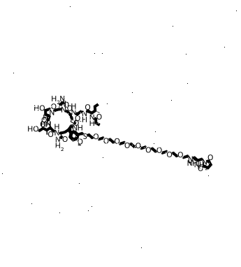 CCC(=O)N[C@H](C(=O)NCC(=O)N[C@@H]1C[S+]([O-])c2[nH]c3c(CSCCOCCOCCOCCOCCOCCOCCOCCOCCOCCN(N)/C=C(\N)CN4C(=O)CCC4=O)c(OC)ccc3c2C[C@@H](C(N)=O)NC(=O)[C@H]([C@@H](C)[C@@H](O)CO)NC(=O)[C@@H]2C[C@@H](O)CN2C(=O)[C@H](CC(N)=O)NC1=O)[C@@H](C)CC